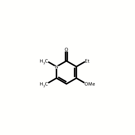 CCc1c(OC)cc(C)n(C)c1=O